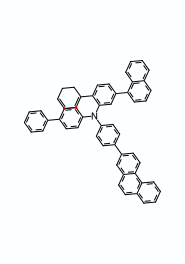 C1=CCCC(c2ccc(-c3cccc4ccccc34)cc2N(c2ccc(-c3ccccc3)cc2)c2ccc(-c3ccc4c(ccc5ccccc54)c3)cc2)=C1